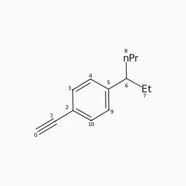 C#Cc1ccc(C(CC)CCC)cc1